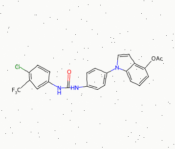 CC(=O)Oc1cccc2c1ccn2-c1ccc(NC(=O)Nc2ccc(Cl)c(C(F)(F)F)c2)cc1